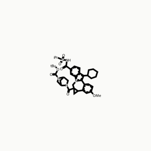 COc1ccc2c(c1)C1CC1(C(=O)N1CC3CC1CN3C(=O)OC(C)(C)C)Cn1c-2c(C2CCCCC2)c2ccc(C(=O)NS(=O)(=O)C(C)C)cc21